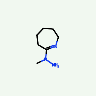 CN(N)C1=NCCCCC1